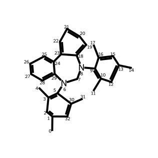 Cc1cc(C)c(N2CN(c3c(C)cc(C)cc3C)c3ccccc3-c3ccccc32)c(C)c1